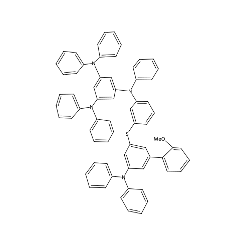 COc1ccccc1-c1cc(Sc2cccc(N(c3ccccc3)c3cc(N(c4ccccc4)c4ccccc4)cc(N(c4ccccc4)c4ccccc4)c3)c2)cc(N(c2ccccc2)c2ccccc2)c1